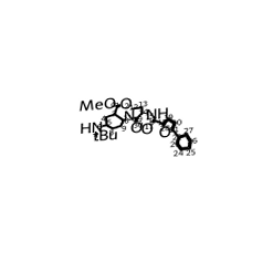 COC(=O)C1CC(NC(C)(C)C)CCC1N1CC[C@H](NC(=O)c2ccc(-c3ccccc3)o2)C1=O